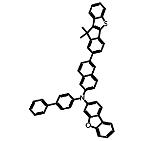 CC1(C)c2cc(-c3ccc4cc(N(c5ccc(-c6ccccc6)cc5)c5ccc6c(c5)oc5ccccc56)ccc4c3)ccc2-c2sc3ccccc3c21